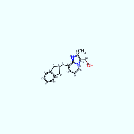 Cc1nc2c(CC3Cc4ccccc4C3)cccn2c1CO